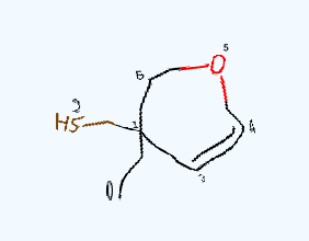 CC1(S)C=COC1